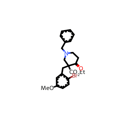 CCOC(=O)C1(Cc2cc(OC)ccc2Br)CN(Cc2ccccc2)CCC1=O